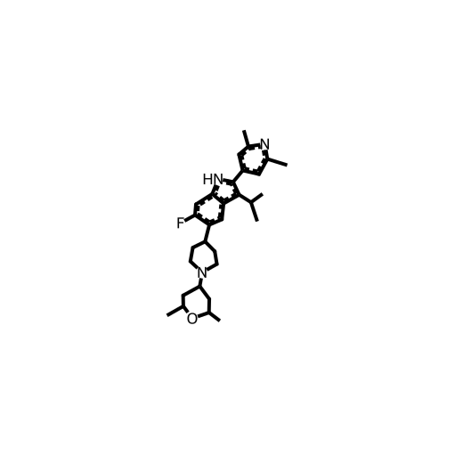 Cc1cc(-c2[nH]c3cc(F)c(C4CCN(C5CC(C)OC(C)C5)CC4)cc3c2C(C)C)cc(C)n1